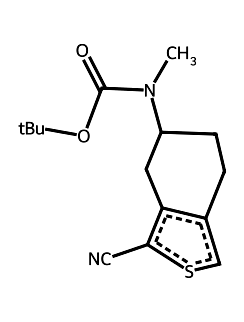 CN(C(=O)OC(C)(C)C)C1CCc2csc(C#N)c2C1